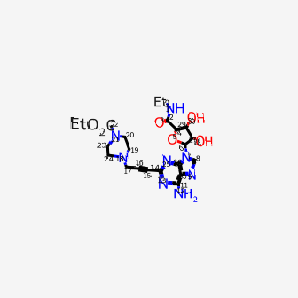 CCNC(=O)C1OC(n2cnc3c(N)nc(C#CCN4CCN(C(=O)OCC)CC4)nc32)C(O)C1O